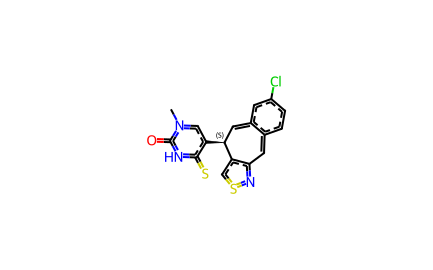 Cn1cc([C@H]2C=c3cc(Cl)ccc3=Cc3nscc32)c(=S)[nH]c1=O